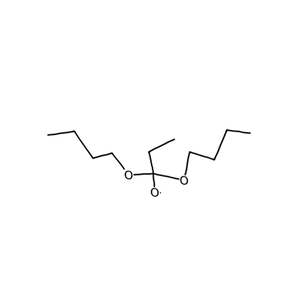 CCCCOC([O])(CC)OCCCC